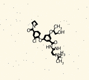 CC(C)N/C=C\C(=N)NC(=O)c1cc(Oc2ccc(C(=O)N3CCC3)cc2Cl)cc(O[C@@H](C)CO)c1